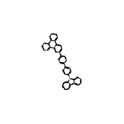 C1=C(c2ccc3c4ccccc4c4ccccc4c3c2)CCC(c2ccc(-n3c4ccccc4c4ccccc43)cn2)=C1